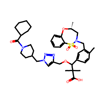 Cc1ccc(C(OCc2cn(CC3CCN(C(=O)C4CCCCC4)CC3)nn2)C(C)(C)C(=O)O)cc1CN1C[C@@H](C)Oc2ccccc2S1(=O)=O